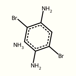 N.Nc1cc(Br)c(N)cc1Br